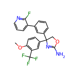 COc1ccc(C2(c3cccc(-c4cccnc4F)c3)COC(N)=N2)cc1C(F)(F)F